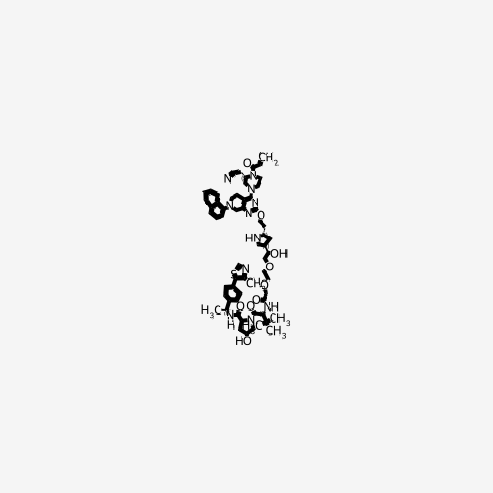 C=CC(=O)N1CCN(c2nc(OCC[C@@H]3C[C@@H](C(O)COCCOCC(=O)N[C@H](C(=O)N4CC(O)CC4C(=O)N[C@@H](C)c4ccc(-c5scnc5C)cc4)C(C)(C)C)CN3)nc3c2CCN(c2cccc4ccccc24)C3)C[C@@H]1CC#N